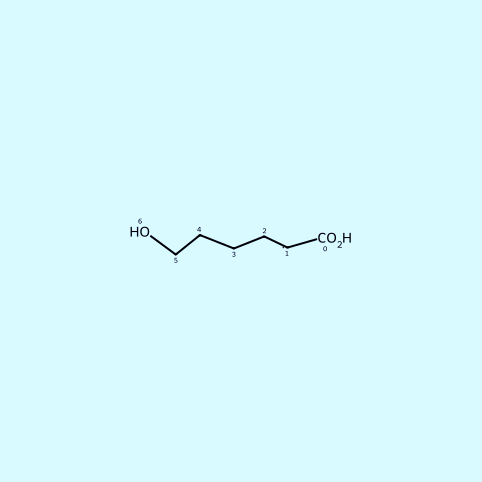 O=C(O)[CH]CCCCO